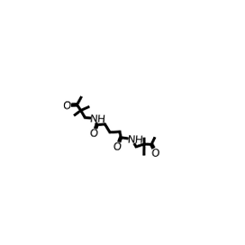 CC(=O)C(C)(C)CNC(=O)CCCC(=O)NCC(C)(C)C(C)=O